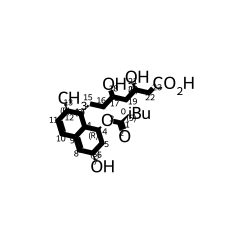 CC[C@H](C)C(=O)O[C@@H]1C[C@H](O)C=C2C=C[C@H](C)[C@H](CCC(O)C[C@@H](O)CC(=O)O)C21